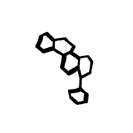 c1ccc(C2CCCc3c2ccc2c3CCc3ccccc3-2)cc1